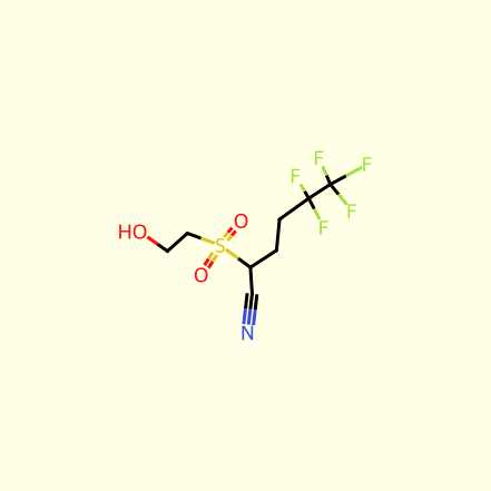 N#CC(CCC(F)(F)C(F)(F)F)S(=O)(=O)CCO